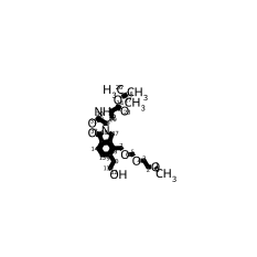 COCCOCOCc1c(CCO)ccc2c1CN([C@@H](CCC(=O)OC(C)(C)C)C(N)=O)C2=O